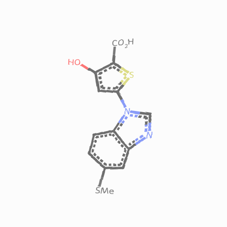 CSc1ccc2c(c1)ncn2-c1cc(O)c(C(=O)O)s1